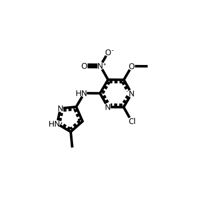 COc1nc(Cl)nc(Nc2cc(C)[nH]n2)c1[N+](=O)[O-]